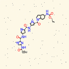 C=CCOC(=O)Nc1ccc2c(ccn2C(=O)c2cc(NC(=O)c3cc(NC(=O)c4nc(NC(=O)C(C)(C)C)cn4C)cn3C)cn2C)c1